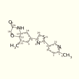 Cc1ccc(-c2nc(-c3cc(C)c4c(c3)NC(=O)CO4)cs2)cn1